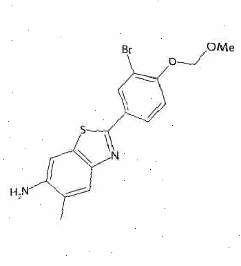 COCOc1ccc(-c2nc3cc(C)c(N)cc3s2)cc1Br